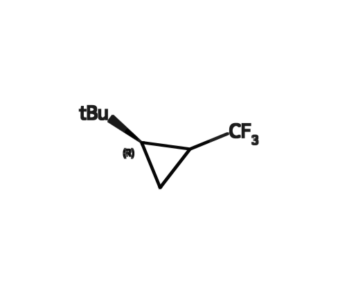 CC(C)(C)[C@@H]1CC1C(F)(F)F